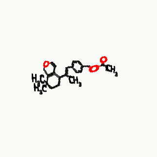 CC(=O)OCc1ccc(C=C(C)C2CCC(C)(C)C3=C2C=COC3)cc1